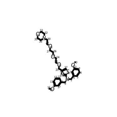 COc1cccc(CN(Cc2cccc(OC)c2)c2nc(COCCOCCOCCN3CCOCC3)cs2)c1